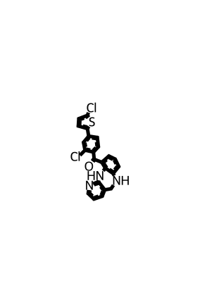 O=C(c1ccc(-c2ccc(Cl)s2)cc1Cl)c1cccc2c1Nc1ncccc1CN2